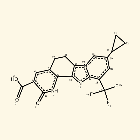 O=C(O)c1cc2c([nH]c1=O)-c1nc3c(C(F)(F)F)cc(C4CC4)cn3c1CC2